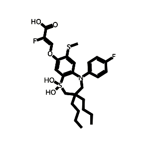 CCCCC1(CCCC)CN(c2ccc(F)cc2)c2cc(SC)c(O/C=C(\F)C(=O)O)cc2S(O)(O)C1